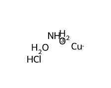 Cl.N.O.O.[Cu]